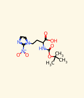 CC(C)(C)OC(=O)NC(CCn1ccnc1[N+](=O)[O-])C(=O)O